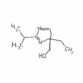 CCC1(CO)C=NC(C(C)C)=N1